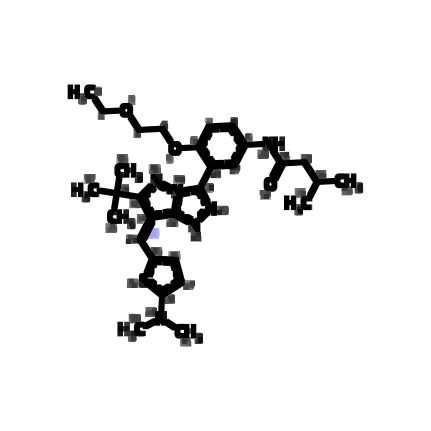 CCOCCOc1ccc(NC(=O)CC(C)C)cc1-c1nnc2/c(=C\c3ccc(N(C)C)s3)c(C(C)(C)C)nn12